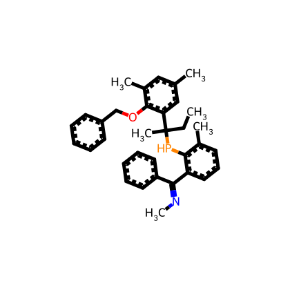 CCC(C)(Pc1c(C)cccc1/C(=N/C)c1ccccc1)c1cc(C)cc(C)c1OCc1ccccc1